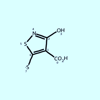 O=C(O)c1c(O)nsc1[S]